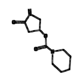 O=C1CC(OC(=O)N2CCCCC2)CN1